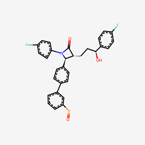 O=Pc1cccc(-c2ccc([C@@H]3[C@@H](CC[C@H](O)c4ccc(F)cc4)C(=O)N3c3ccc(F)cc3)cc2)c1